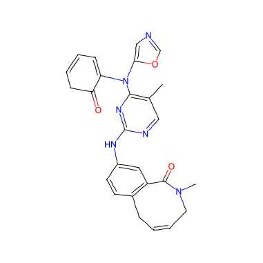 Cc1cnc(Nc2ccc3c(c2)C(=O)N(C)CC=CC3)nc1N(C1=CC=CCC1=O)c1cnco1